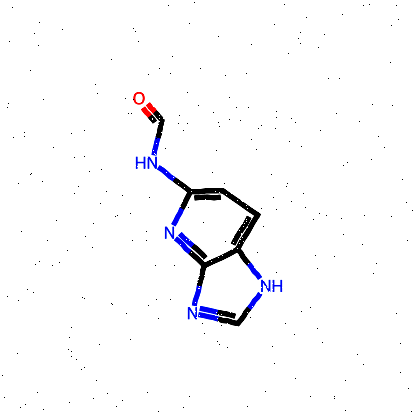 O=CNc1ccc2[nH]cnc2n1